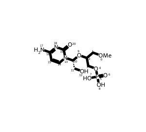 COCC(COP(=O)(O)O)O[C@H](CO)n1ccc(N)nc1=O